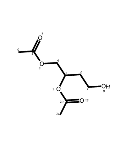 CC(=O)OCC(CCO)OC(C)=O